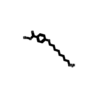 CC(C)(C)OC(=O)c1ccc(OCCCCCCCCC(=O)O)cc1